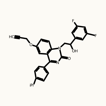 C#CCOc1ccc2c(c1)c(-c1ccc(C(C)C)cc1)nc(=O)n2CC(O)c1cc(F)cc(F)c1